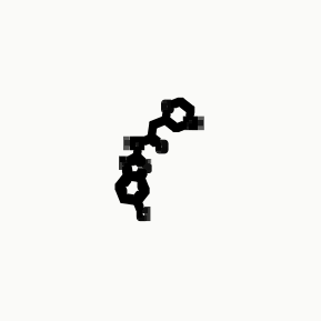 O=C(CC1CNCCO1)Nc1nc2ccc(Cl)cc2s1